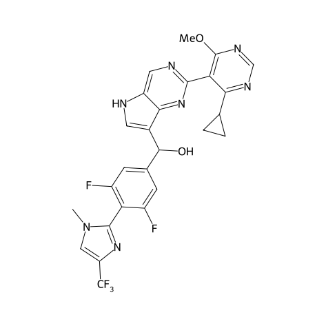 COc1ncnc(C2CC2)c1-c1ncc2[nH]cc(C(O)c3cc(F)c(-c4nc(C(F)(F)F)cn4C)c(F)c3)c2n1